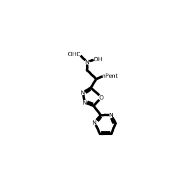 CCCCCC(CN(O)C=O)c1nnc(-c2ncccn2)o1